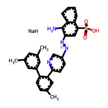 Cc1cc(C)cc(-c2ccc(C)cc2-c2ccc(/N=N/c3cc(S(=O)(=O)O)c4ccccc4c3N)cn2)c1.[NaH]